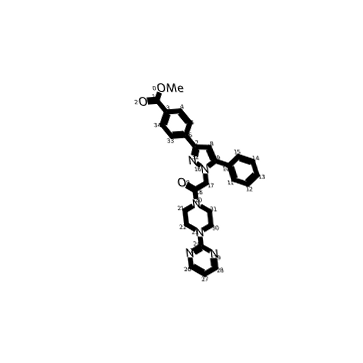 COC(=O)c1ccc(-c2cc(-c3ccccc3)n(CC(=O)N3CCN(c4ncccn4)CC3)n2)cc1